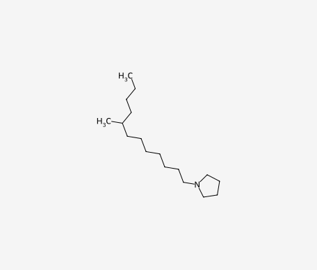 CCCCC(C)CCCCCCCN1CCCC1